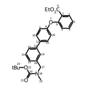 CCOC(=O)c1ccccc1Oc1ccc(-c2cccc(CN(C)C(=O)OC(C)(C)C)c2)cc1